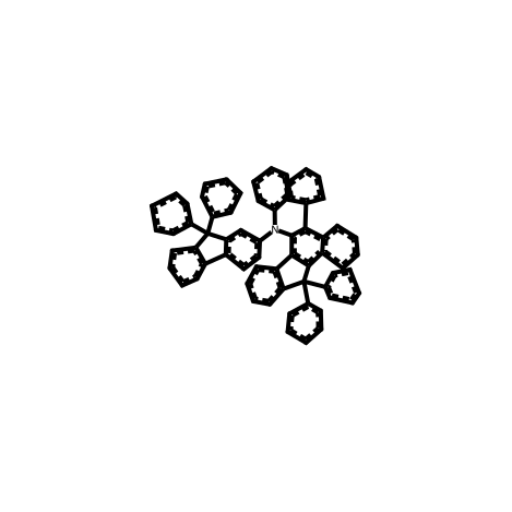 c1ccc(-c2c(N(c3ccccc3)c3ccc4c(c3)C(c3ccccc3)(c3ccccc3)c3ccccc3-4)c3c(c4ccccc24)C(c2ccccc2)(c2ccccc2)c2ccccc2-3)cc1